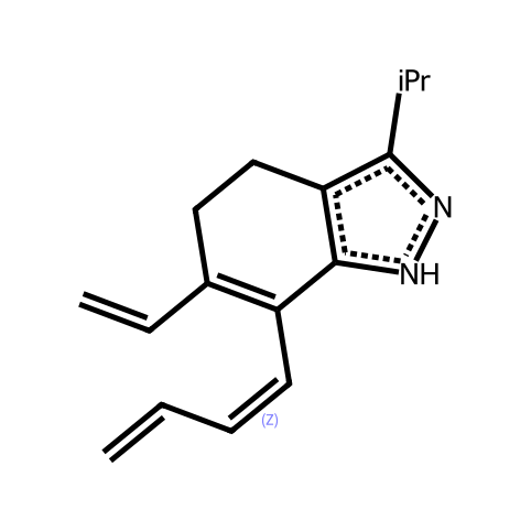 C=C/C=C\C1=C(C=C)CCc2c(C(C)C)n[nH]c21